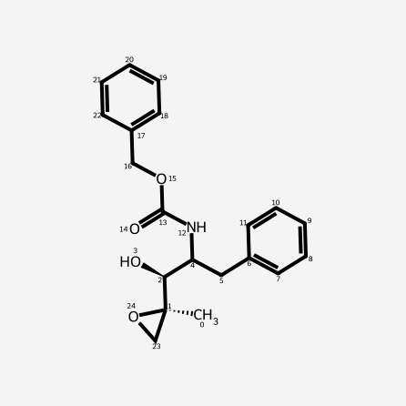 C[C@]1([C@@H](O)C(Cc2ccccc2)NC(=O)OCc2ccccc2)CO1